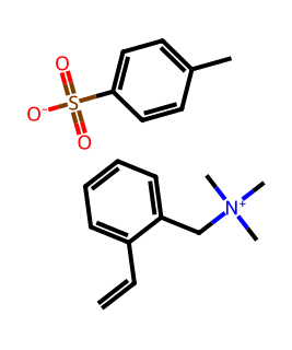 C=Cc1ccccc1C[N+](C)(C)C.Cc1ccc(S(=O)(=O)[O-])cc1